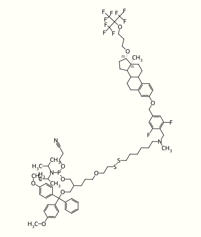 COc1ccc(C(OCC(CCCOCCSSCCCCCCN(C)Cc2c(F)cc(COc3ccc4c(c3)CCC3C4CC[C@@]4(C)C3CC[C@@H]4OCCCOC(C(F)(F)F)(C(F)(F)F)C(F)(F)F)cc2F)COP(OCCC#N)N(C(C)C)C(C)C)(c2ccccc2)c2ccc(OC)cc2)cc1